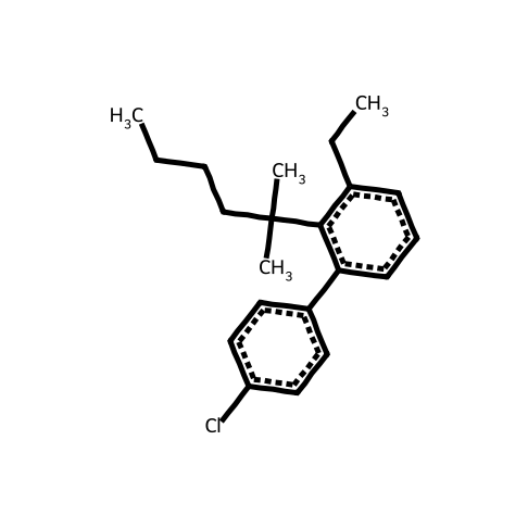 CCCCC(C)(C)c1c(CC)cccc1-c1ccc(Cl)cc1